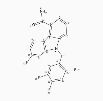 NC(=O)c1cccc2c1c1[c]cc(F)cc1n2Cc1cc(F)c(F)cc1F